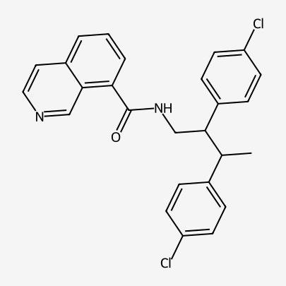 CC(c1ccc(Cl)cc1)C(CNC(=O)c1cccc2ccncc12)c1ccc(Cl)cc1